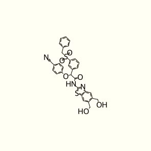 N#Cc1ccc(OC(C(=O)Nc2nc3cc(CO)c(CO)cc3s2)c2cccc(S(=O)(=O)Cc3ccccc3)c2)cc1